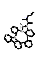 C=C/C=C(/C)C(=C)N1c2cccc3c2N(c2ccccc2-n2c4ccccc4c4cccc(c42)-c2ccccc2-3)[C@@H]1C